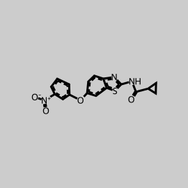 O=C(Nc1nc2ccc(Oc3cccc([N+](=O)[O-])c3)cc2s1)C1CC1